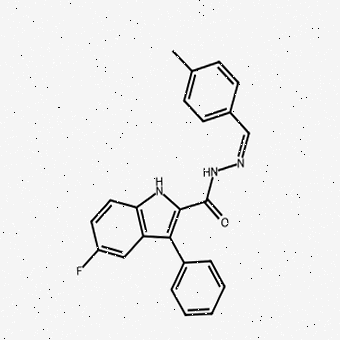 Cc1ccc(/C=N\NC(=O)c2[nH]c3ccc(F)cc3c2-c2ccccc2)cc1